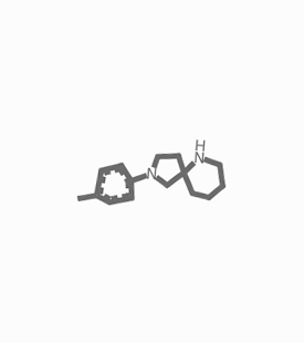 Cc1ccc(N2CCC3(CCCCN3)C2)cc1